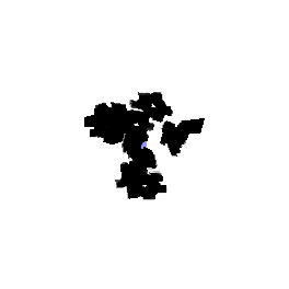 O=C(N[C@H](/C=C/C(=O)N1CCc2ccccc21)CCc1ccccc1)[C@H]1NC[C@H]2C[C@H]21.O=C(O)C(F)(F)F